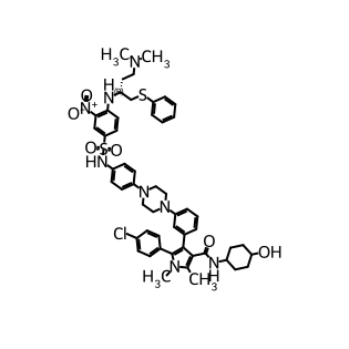 Cc1c(C(=O)NC2CCC(O)CC2)c(-c2cccc(N3CCN(c4ccc(NS(=O)(=O)c5ccc(N[C@H](CCN(C)C)CSc6ccccc6)c([N+](=O)[O-])c5)cc4)CC3)c2)c(-c2ccc(Cl)cc2)n1C